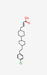 O=C(O)/C=C/CC1CCC(C2CCC(CCc3ccc(Cl)cc3)CC2)CC1